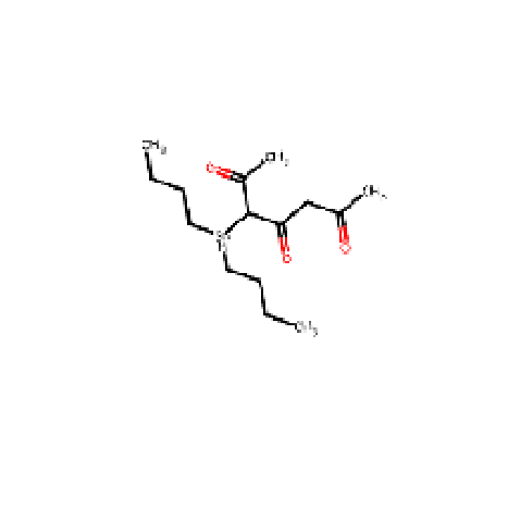 CCC[CH2][SnH]([CH2]CCC)[CH](C(C)=O)C(=O)CC(C)=O